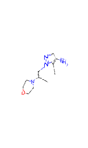 Cc1c(N)cnn1CC(C)N1CCOCC1